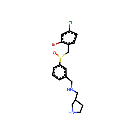 [O-][S+](Cc1ccc(Cl)cc1Br)c1cccc(CNCC2CCNC2)c1